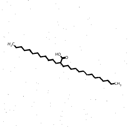 CCCCCCCCCCCCCCC(CCCCCCCCCCCC)C(=O)O